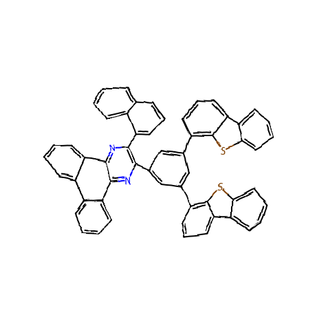 c1ccc2c(-c3nc4c5ccccc5c5ccccc5c4nc3-c3cc(-c4cccc5c4sc4ccccc45)cc(-c4cccc5c4sc4ccccc45)c3)cccc2c1